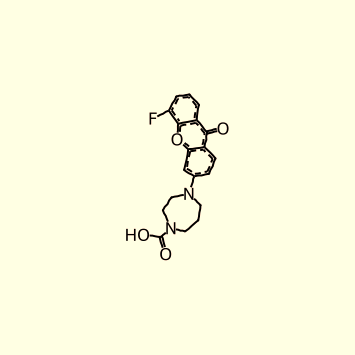 O=C(O)N1CCCN(c2ccc3c(=O)c4cccc(F)c4oc3c2)CC1